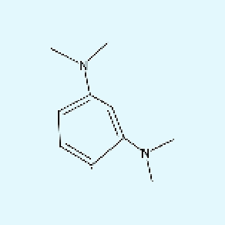 CN(C)c1[c]ccc(N(C)C)c1